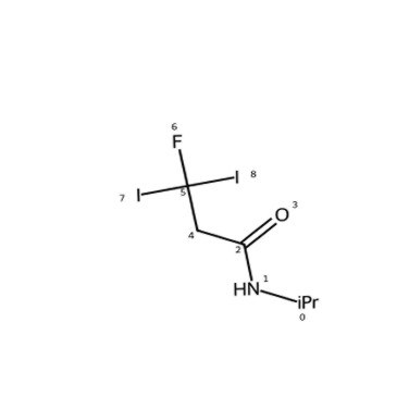 CC(C)NC(=O)CC(F)(I)I